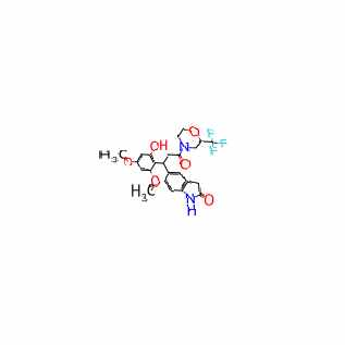 COc1cc(O)c(C(CC(=O)N2CCOC(C(F)(F)F)C2)c2ccc3c(c2)CC(=O)N3)c(OC)c1